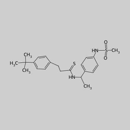 CC(NC(=S)CCc1ccc(C(C)(C)C)cc1)c1ccc(NS(C)(=O)=O)cc1